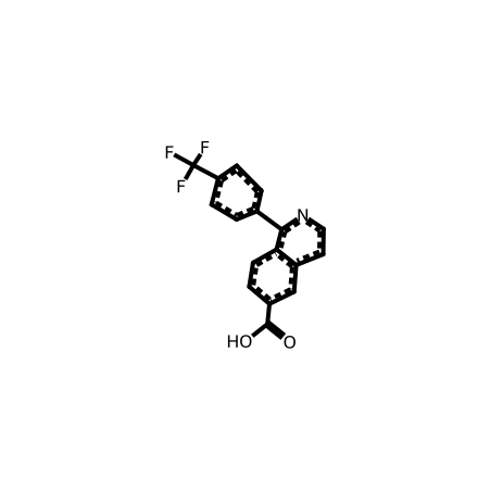 O=C(O)c1ccc2c(-c3ccc(C(F)(F)F)cc3)nccc2c1